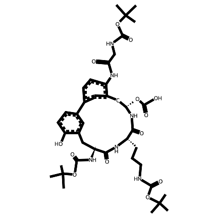 CC(C)(C)OC(=O)NCCC[C@@H]1NC(=O)[C@@H](NC(=O)OC(C)(C)C)Cc2cc(ccc2O)-c2ccc(NC(=O)CNC(=O)OC(C)(C)C)c(c2)C[C@H](OC(=O)O)NC1=O